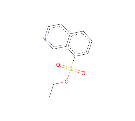 CCOS(=O)(=O)c1cccc2ccncc12